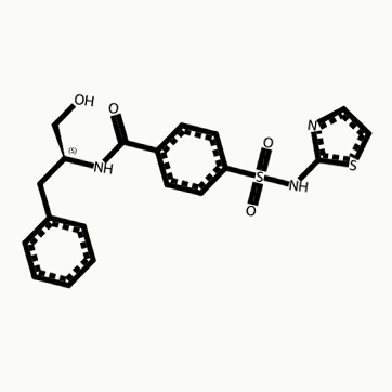 O=C(N[C@H](CO)Cc1ccccc1)c1ccc(S(=O)(=O)Nc2nccs2)cc1